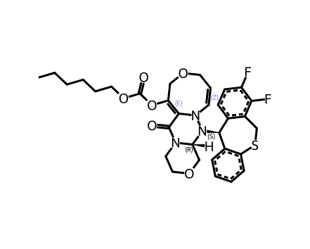 CCCCCCOC(=O)O/C1=C2\C(=O)N3CCOC[C@H]3N([C@@H]3c4ccccc4SCc4c3ccc(F)c4F)N2/C=C\COC1